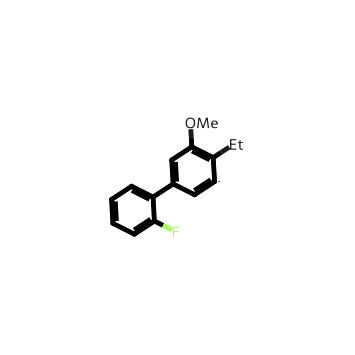 CCc1[c]cc(-c2ccccc2F)cc1OC